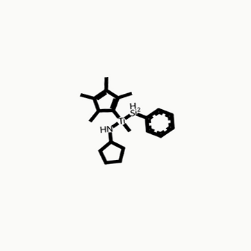 CC1=C(C)C(C)[C]([Ti]([CH3])([NH]C2CCCC2)[SiH2]c2ccccc2)=C1C